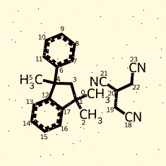 CC1(C)CC(C)(c2ccccc2)c2ccccc21.N#CCC(C#N)CC#N